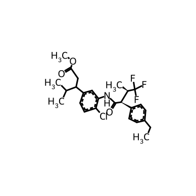 CCc1ccc([C@@H](C(=O)Nc2cc(C(CC(=O)OC)C(C)C)ccc2Cl)[C@@H](C)C(F)(F)F)cc1